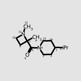 CC(C)C1CCN(C(=O)C2(C)CCN2C)CC1